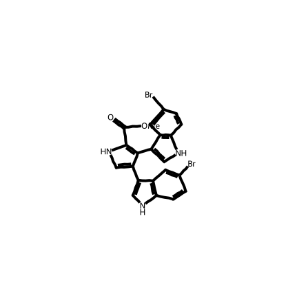 COC(=O)c1[nH]cc(-c2c[nH]c3ccc(Br)cc23)c1-c1c[nH]c2ccc(Br)cc12